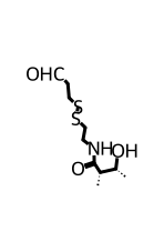 C[C@H](C(=O)NCCSSCCC=O)[C@@H](C)O